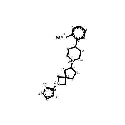 COc1ccccc1C1CCN(C2CCC3(C2)CN(c2ccns2)C3)CC1